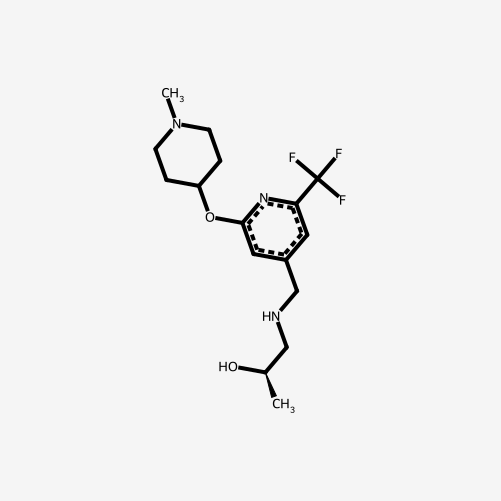 C[C@@H](O)CNCc1cc(OC2CCN(C)CC2)nc(C(F)(F)F)c1